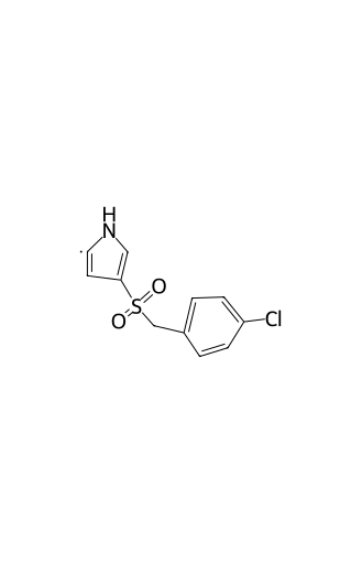 O=S(=O)(Cc1ccc(Cl)cc1)c1c[c][nH]c1